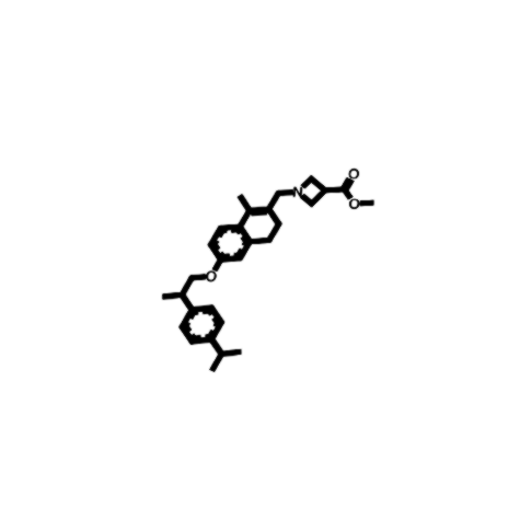 COC(=O)C1CN(CC2=C(C)c3ccc(OCC(C)c4ccc(C(C)C)cc4)cc3CC2)C1